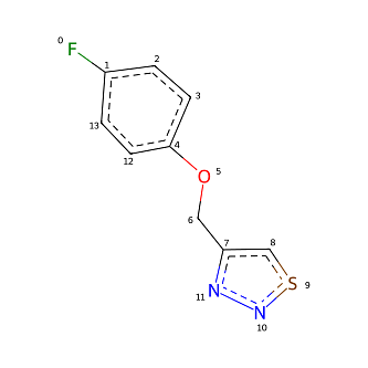 Fc1ccc(OCc2csnn2)cc1